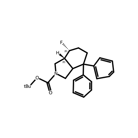 CC(C)(C)OC(=O)N1CC2[C@H](C1)[C@H](F)CCC2(c1ccccc1)c1ccccc1